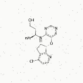 CCC[C@@H](CCO)Nc1ncncc1O[C@H]1CCc2c(Cl)ccnc21